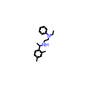 CCN(CCNC(C)c1ccc(C)cc1C)c1ccccc1